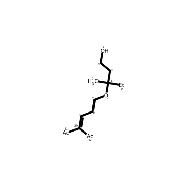 CCC(C)(CCO)OCCC=C(C(C)=O)C(C)=O